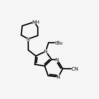 CC(C)(C)Cn1c(CN2CCNCC2)cc2cnc(C#N)nc21